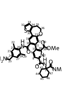 CNC(=O)C1(NC(=O)c2ccc(-c3cc4c(cc3C(=O)Nc3c(C)cc(CN)cc3C)-c3sccc3CCO4)c(C(=O)OC)n2)CCCCC1